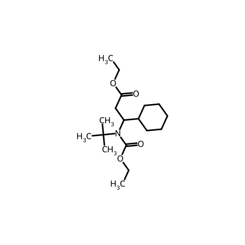 CCOC(=O)CC(C1CCCCC1)N(C(=O)OCC)C(C)(C)C